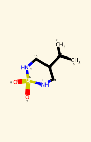 CC(C)C1CNS(=O)(=O)NC1